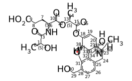 C[C@H](O)C(=O)N[C@@H](CCC(=O)O)C(=O)O[C@@H](C)C(=O)OC1=CC[C@@]2(O)[C@H]3Cc4ccc(CO)c5c4[C@@]2(CCN3C)[C@H]1O5